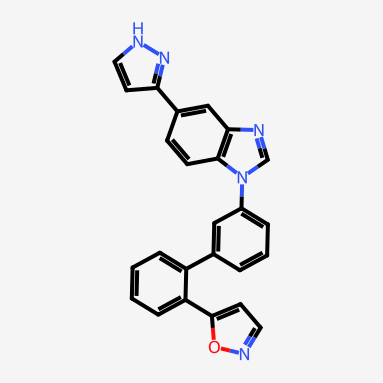 c1cc(-c2ccccc2-c2ccno2)cc(-n2cnc3cc(-c4cc[nH]n4)ccc32)c1